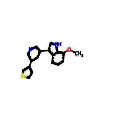 COc1cccc2c(-c3cncc(-c4ccsc4)c3)c[nH]c12